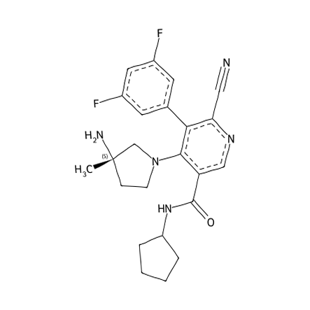 C[C@]1(N)CCN(c2c(C(=O)NC3CCCC3)cnc(C#N)c2-c2cc(F)cc(F)c2)C1